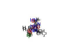 CC(C)(C)C(NC(=O)OC1(C(F)(F)F)CC1)C(=O)N1CC2C(C1C(=O)NC(C#N)CC1CC3(CC3)NC1=O)C2(C)C